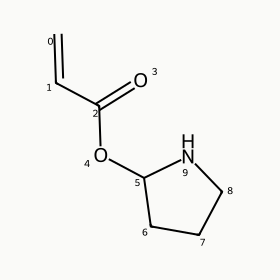 C=CC(=O)OC1CCCN1